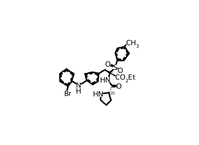 CCOC(=O)[C@](Cc1ccc(Nc2ccccc2Br)cc1)(NC(=O)[C@@H]1CCCN1)S(=O)(=O)c1ccc(C)cc1